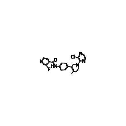 CC1=C(c2ccc(NC(=O)c3ccncc3F)cc2)CN(c2nccnc2Cl)CC1